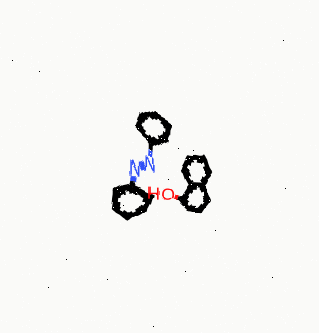 Oc1cccc2ccccc12.c1ccc(/N=N/c2ccccc2)cc1